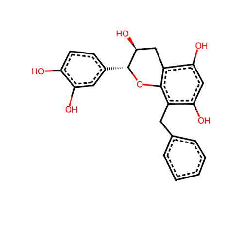 Oc1ccc([C@H]2Oc3c(Cc4ccccc4)c(O)cc(O)c3C[C@@H]2O)cc1O